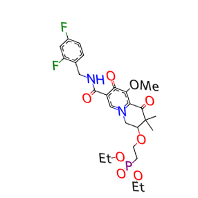 CCOP(=O)(CCOC1Cn2cc(C(=O)NCc3ccc(F)cc3F)c(=O)c(OC)c2C(=O)C1(C)C)OCC